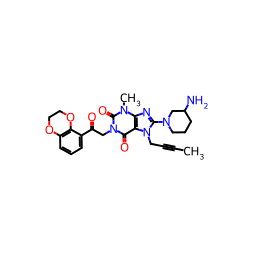 CC#CCn1c(N2CCCC(N)C2)nc2c1c(=O)n(CC(=O)c1cccc3c1OCCO3)c(=O)n2C